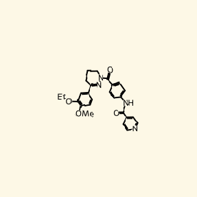 CCOc1cc(C2=NN(C(=O)c3ccc(NC(=O)c4ccncc4)cc3)CCC2)ccc1OC